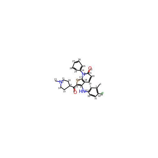 Cc1cc(Nc2c(C(=O)C3CCN(C)CC3)sc3c2ccc(=O)n3-c2ccccc2)ccc1F